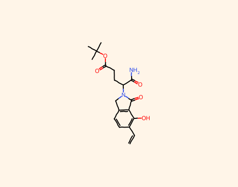 C=Cc1ccc2c(c1O)C(=O)N(C(CCC(=O)OC(C)(C)C)C(N)=O)C2